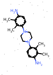 Cc1c(N)ccc(N2CCN(c3ccc(N)c(C)c3C)CC2)c1C